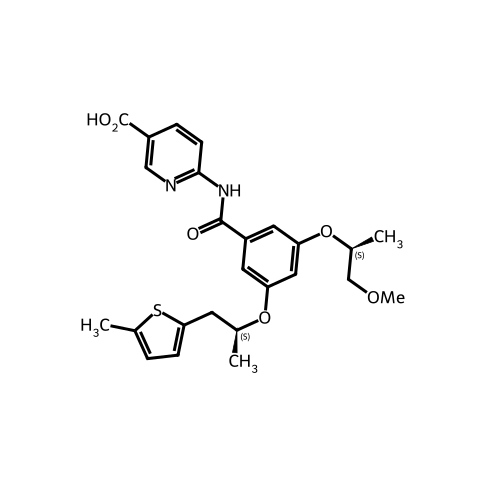 COC[C@H](C)Oc1cc(O[C@@H](C)Cc2ccc(C)s2)cc(C(=O)Nc2ccc(C(=O)O)cn2)c1